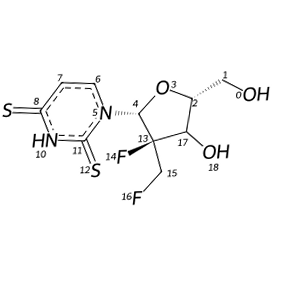 OC[C@H]1O[C@@H](n2ccc(=S)[nH]c2=S)[C@@](F)(CF)C1O